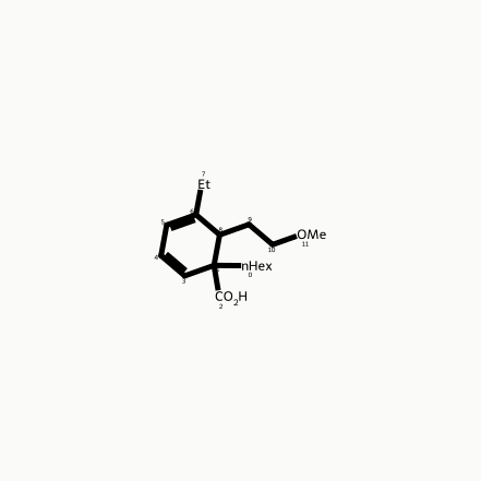 CCCCCCC1(C(=O)O)C=CC=C(CC)C1CCOC